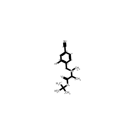 CC(C(=O)OC(C)(C)C)N(C)Cc1ccc(C#N)cc1F